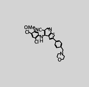 COc1cc(Nc2c(C#N)cnc3sc(-c4ccc(CN5CCOCC5)cc4)cc23)c(Cl)cc1Cl